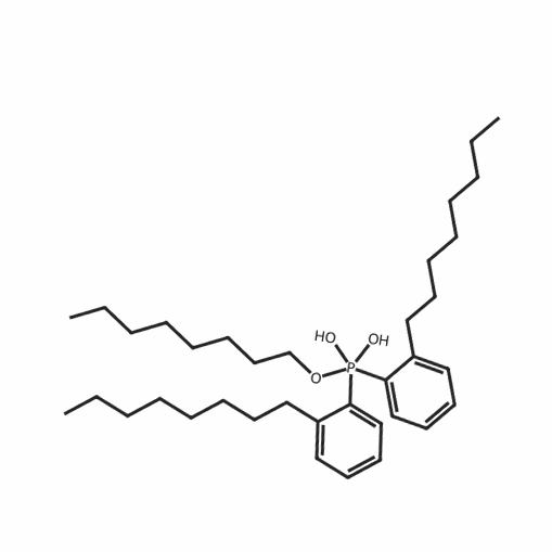 CCCCCCCCOP(O)(O)(c1ccccc1CCCCCCCC)c1ccccc1CCCCCCCC